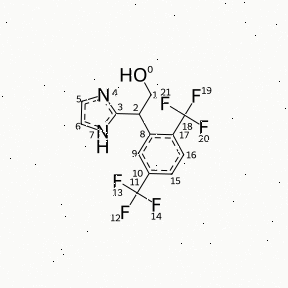 OCC(c1ncc[nH]1)c1cc(C(F)(F)F)ccc1C(F)(F)F